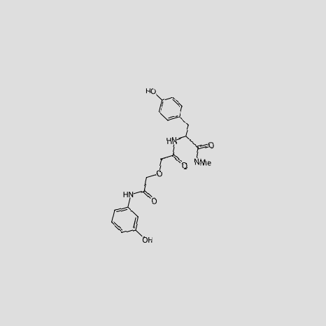 CNC(=O)C(Cc1ccc(O)cc1)NC(=O)COCC(=O)Nc1cccc(O)c1